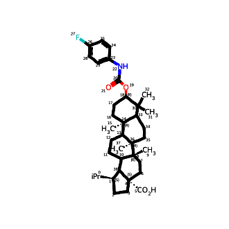 CC(C)[C@@H]1CC[C@]2(C(=O)O)CC[C@]3(C)C(CCC4[C@@]5(C)CC[C@@H](OC(=O)Nc6ccc(F)cc6)C(C)(C)C5CC[C@]43C)C12